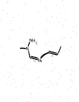 C/C=C/N=C\N(C)N